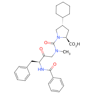 CN(CC(=O)[C@H](Cc1ccccc1)NC(=O)c1ccccc1)C(=O)N1C[C@H](C2CCCCC2)C[C@H]1C(=O)O